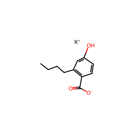 CCCCc1cc(O)ccc1C(=O)[O-].[K+]